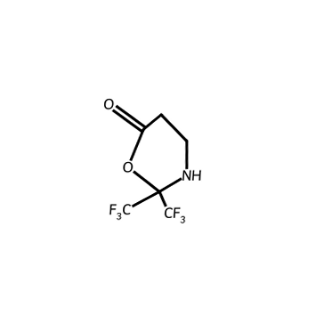 O=C1CCNC(C(F)(F)F)(C(F)(F)F)O1